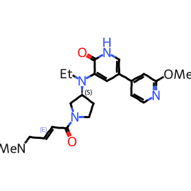 CCN(c1cc(-c2ccnc(OC)c2)c[nH]c1=O)[C@H]1CCN(C(=O)/C=C/CNC)C1